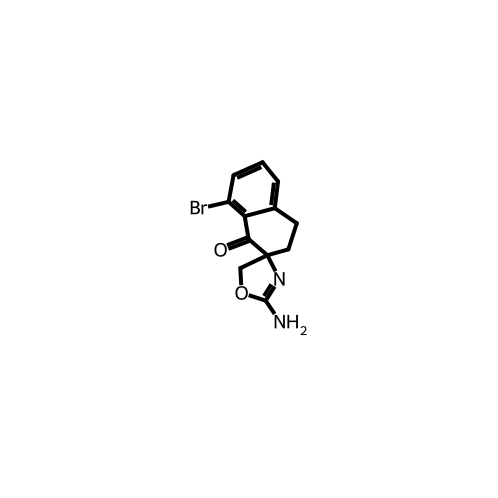 NC1=NC2(CCc3cccc(Br)c3C2=O)CO1